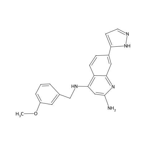 COc1cccc(CNc2cc(N)nc3cc(-c4ccn[nH]4)ccc23)c1